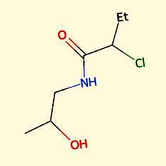 CCC(Cl)C(=O)NCC(C)O